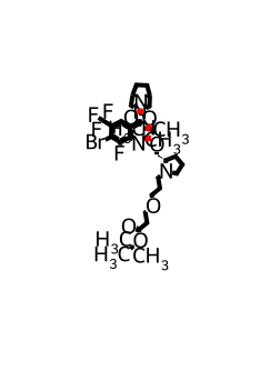 CC(C)(C)OC(=O)CCOCCCN1CCC[C@H]1COc1nc(N2CC3CCC(C2)N3C(=O)OC(C)(C)C)c2cc(C(F)(F)F)c(Br)c(F)c2n1